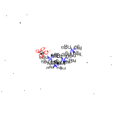 CCCC[N+](CCCC)(CCCC)CCCC.CCCC[N+](CCCC)(CCCC)CCCC.CCCC[N+](CCCC)(CCCC)CCCC.CCCC[N+](CCCC)(CCCC)CCCC.[O-][Si]([O-])([O-])[O-]